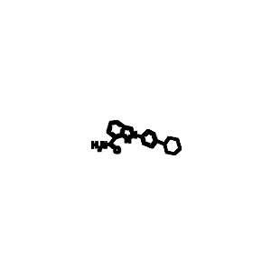 NC(=O)c1cccc2cn(-c3ccc(C4CCCCC4)cc3)nc12